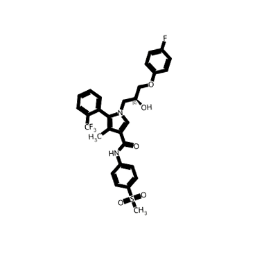 Cc1c(C(=O)Nc2ccc(S(C)(=O)=O)cc2)cn(C[C@H](O)COc2ccc(F)cc2)c1-c1ccccc1C(F)(F)F